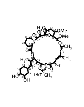 CCC1/C=C(\C)CC(C)CC(OC)C2OC(O)(C(=O)C(=O)N3CCCCC3C(=O)OC(C(C)=CC3CCC(O)C(O)C3)C(C)C(O[Si](C)(C)C(C)(C)C)CC1=O)C(C)CC2OC